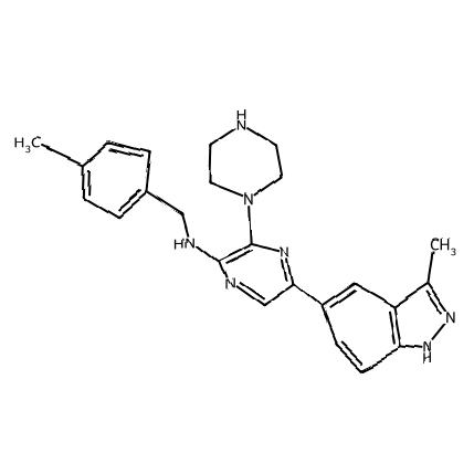 Cc1ccc(CNc2ncc(-c3ccc4[nH]nc(C)c4c3)nc2N2CCNCC2)cc1